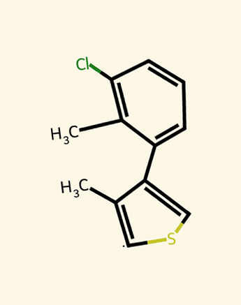 Cc1[c]scc1-c1cccc(Cl)c1C